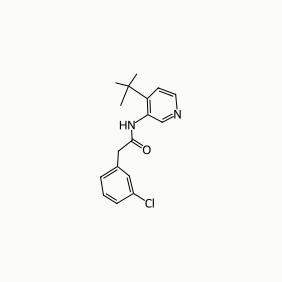 CC(C)(C)c1ccncc1NC(=O)Cc1cccc(Cl)c1